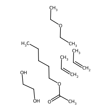 C=CC.C=CC.CCCCCOC(C)=O.CCOCC.OCCO